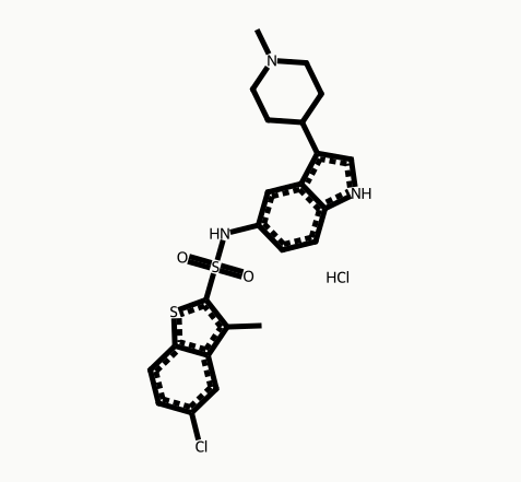 Cc1c(S(=O)(=O)Nc2ccc3[nH]cc(C4CCN(C)CC4)c3c2)sc2ccc(Cl)cc12.Cl